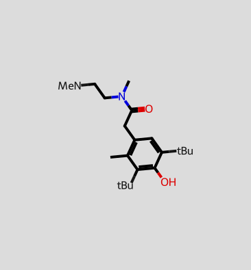 CNCCN(C)C(=O)Cc1cc(C(C)(C)C)c(O)c(C(C)(C)C)c1C